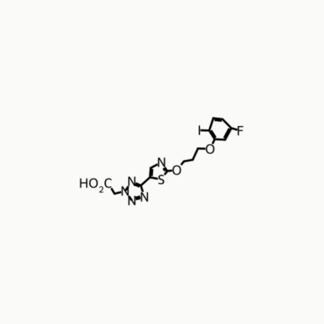 O=C(O)Cn1nnc(-c2cnc(OCCCOc3cc(F)ccc3I)s2)n1